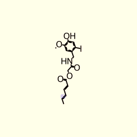 C/C=C/C=CC(=O)OCC(=O)NCc1cc(OC)c(O)cc1I